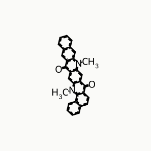 Cn1c2cc3ccccc3cc2c(=O)c2cc3c(cc21)c(=O)c1ccc2ccccc2c1n3C